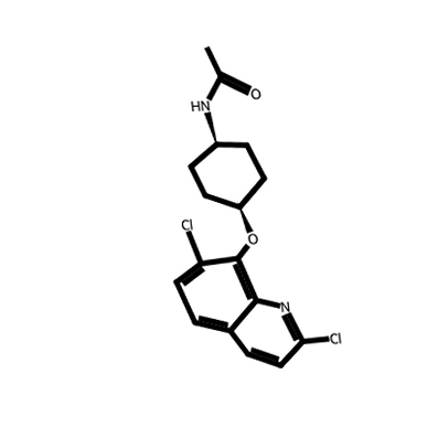 CC(=O)N[C@H]1CC[C@@H](Oc2c(Cl)ccc3ccc(Cl)nc23)CC1